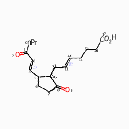 CCCC(=O)/C=C/C1CCC(=O)C1C/C=C/CCCC(=O)O